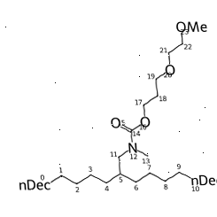 CCCCCCCCCCCCCCC(CCCCCCCCCCCCCC)CN(C)C(=O)OCCCOCCOC